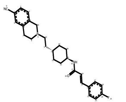 N#Cc1ccc2c(c1)CCN(CC[C@H]1CC[C@H](NC(=O)C=Cc3ccc(F)cc3)CC1)C2